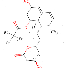 CCC(CC)(CC)C(=O)O[C@@H]1C[C@H](O)C=C2C=C[C@H](C)[C@H](CC[C@@H]3C[C@@H](O)CC(=O)O3)[C@H]21